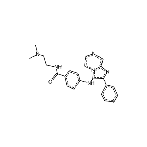 CN(C)CCNC(=O)c1ccc(Nc2c(-c3ccccc3)nc3cnccn23)cc1